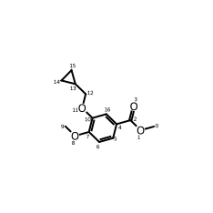 COC(=O)c1ccc(OC)c(OCC2CC2)c1